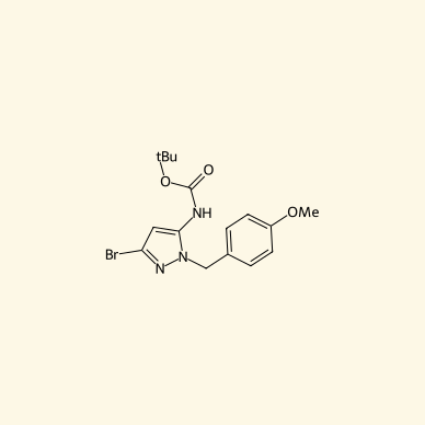 COc1ccc(Cn2nc(Br)cc2NC(=O)OC(C)(C)C)cc1